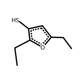 CCc1cc(S)c(CC)o1